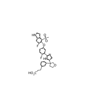 CS(=O)(=O)c1c(Oc2ccc(F)c(-c3ncc(C4(c5cccc(CCC(=O)O)c5)CCOC4)[nH]3)c2)c(F)cc2[nH]ccc12